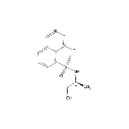 C[C@@H](CO)NS(=O)(=O)c1cccc2cncc(F)c12